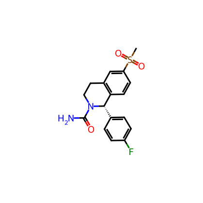 CS(=O)(=O)c1ccc2c(c1)CCN(C(N)=O)[C@H]2c1ccc(F)cc1